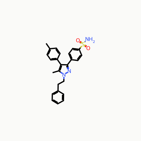 Cc1ccc(-c2c(-c3ccc(S(N)(=O)=O)cc3)nn(CCc3ccccc3)c2C)cc1